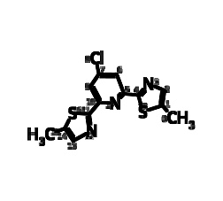 Cc1cnc(-c2cc(Cl)cc(-c3ncc(C)s3)n2)s1